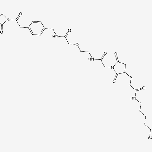 CC(=O)CCCCCNC(=O)CSC1CC(=O)N(CC(=O)NCCOCC(=O)NCc2ccc(CC(=O)N3CCC3=O)cc2)C1=O